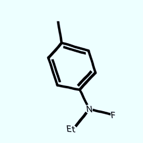 CCN(F)c1ccc(C)cc1